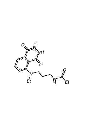 CCC(=O)NCCCN(CC)c1cccc2c(=O)[nH][nH]c(=O)c12